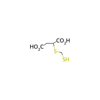 O=C(O)CC(SCS)C(=O)O